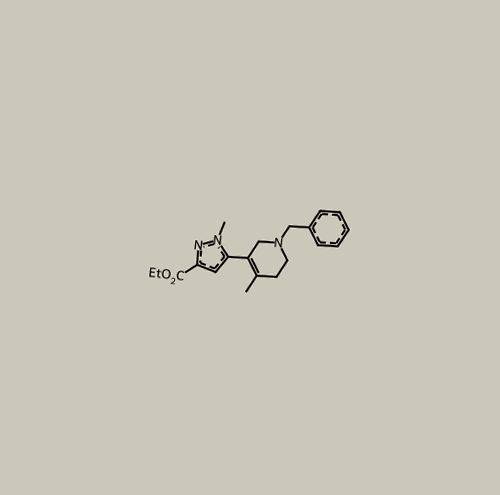 CCOC(=O)c1cc(C2=C(C)CCN(Cc3ccccc3)C2)n(C)n1